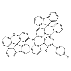 Fc1ccc(-c2cccc3c2sc2cccc(N(c4ccc5c(c4)Sc4ccccc4C54c5ccccc5-c5ccccc54)c4ccc5c(c4)C4(c6ccccc6O5)c5ccccc5-c5ccccc54)c23)cc1